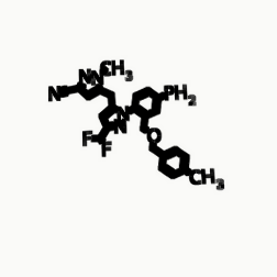 Cc1ccc(COCc2cc(P)ccc2-n2nc(C(F)F)cc2Cc2cc(C#N)nn2C)cc1